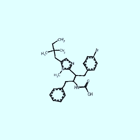 CCC(C)(C)Cc1cnc(C(Cc2ccc(Br)cc2)C(Cc2ccccc2)NC(=O)O)n1C